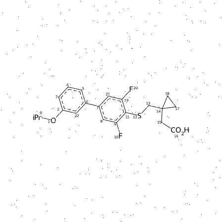 CC(C)Oc1cccc(-c2cc(F)c(SCC3(CC(=O)O)CC3)c(F)c2)c1